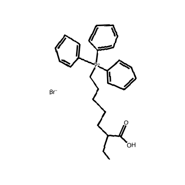 CCC(CCCCC[P+](c1ccccc1)(c1ccccc1)c1ccccc1)C(=O)O.[Br-]